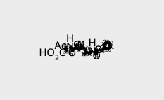 CC(=O)[C@H](CC(=O)O)NC(=O)C1CC(CC(C)CNC(=O)OCc2ccccc2)=NO1